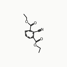 CCOC(=O)c1cccc(C(=O)OCC)c1C#N